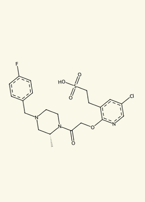 C[C@@H]1CN(Cc2ccc(F)cc2)CCN1C(=O)COc1ncc(Cl)cc1CCS(=O)(=O)O